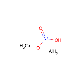 O=[N+]([O-])O.[AlH3].[CaH2]